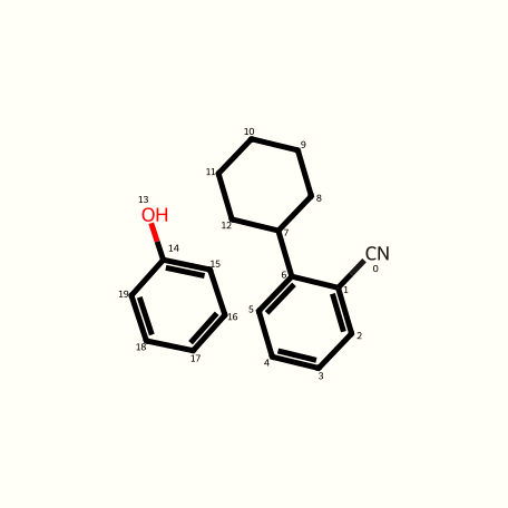 N#Cc1ccccc1C1CCCCC1.Oc1ccccc1